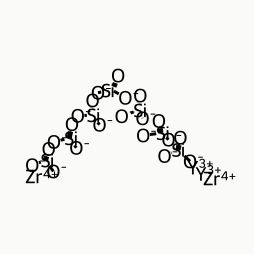 O=[Si]([O-])[O-].O=[Si]([O-])[O-].O=[Si]([O-])[O-].O=[Si]([O-])[O-].O=[Si]([O-])[O-].O=[Si]([O-])[O-].O=[Si]([O-])[O-].[Y+3].[Y+3].[Zr+4].[Zr+4]